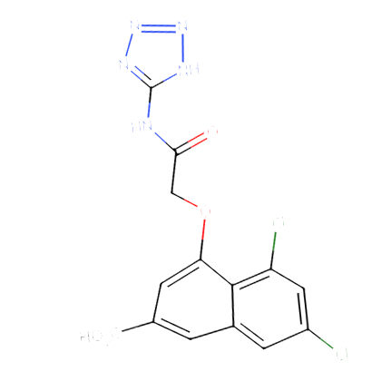 O=C(COc1cc(C(=O)O)cc2cc(Cl)cc(Cl)c12)Nc1nnn[nH]1